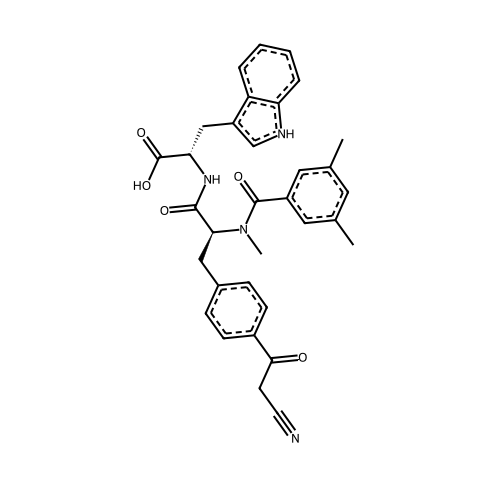 Cc1cc(C)cc(C(=O)N(C)[C@@H](Cc2ccc(C(=O)CC#N)cc2)C(=O)N[C@@H](Cc2c[nH]c3ccccc23)C(=O)O)c1